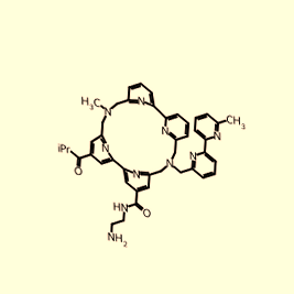 Cc1cccc(-c2cccc(CN3Cc4cccc(n4)-c4cccc(n4)CN(C)Cc4cc(C(=O)C(C)C)cc(n4)-c4cc(C(=O)NCCN)cc(n4)C3)n2)n1